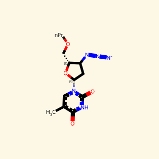 CCCOC[C@H]1O[C@@H](n2cc(C)c(=O)[nH]c2=O)CC1N=[N+]=[N-]